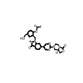 Cn1c(=O)c2ccc(-c3cnc(N4CCN5C(=O)OC[C@H]5C4)nc3)cc2n1Cc1cc(CO)ccc1OC(F)F